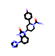 NC(=O)N1CCC(n2c(=O)[nH]c3c(-n4cncn4)cccc32)CC1c1ccc(I)cc1